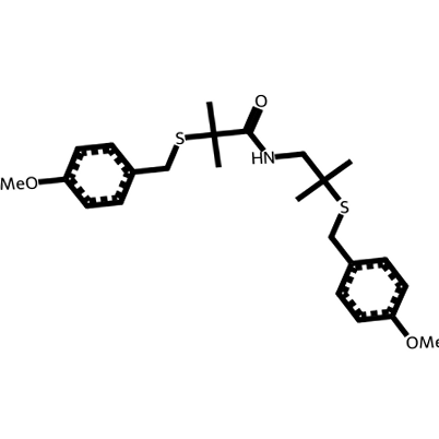 COc1ccc(CSC(C)(C)CNC(=O)C(C)(C)SCc2ccc(OC)cc2)cc1